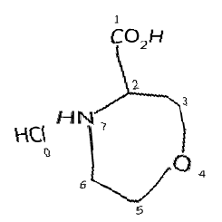 Cl.O=C(O)C1COCCN1